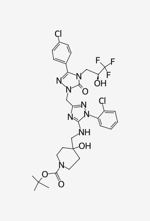 CC(C)(C)OC(=O)N1CCC(O)(CNc2nc(Cn3nc(-c4ccc(Cl)cc4)n(C[C@H](O)C(F)(F)F)c3=O)nn2-c2ccccc2Cl)CC1